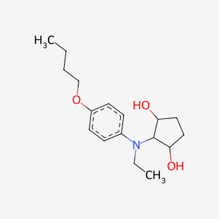 CCCCOc1ccc(N(CC)C2C(O)CCC2O)cc1